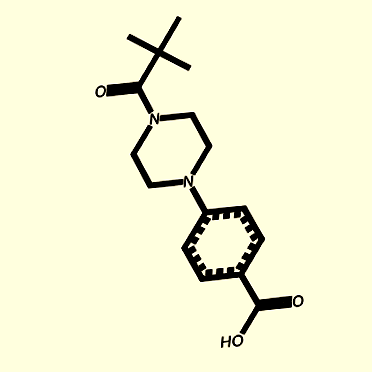 CC(C)(C)C(=O)N1CCN(c2ccc(C(=O)O)cc2)CC1